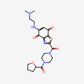 CN(C)CCNC1=CC(=O)c2sc(C(=O)N3CCN(C(=O)C4CCCO4)CC3)nc2C1=O